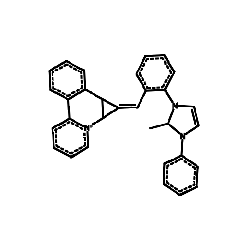 CC1N(c2ccccc2)C=CN1c1ccccc1/C=C1\C2c3ccccc3-c3cccc[n+]3C12